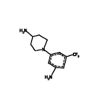 Nc1cc(N2CCC(N)CC2)cc(C(F)(F)F)c1